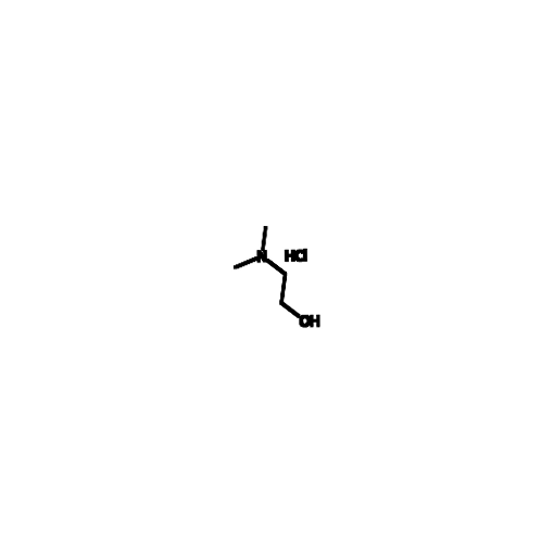 CN(C)CCO.Cl